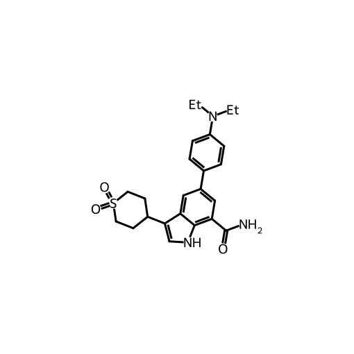 CCN(CC)c1ccc(-c2cc(C(N)=O)c3[nH]cc(C4CCS(=O)(=O)CC4)c3c2)cc1